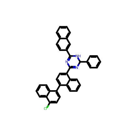 Clc1ccc(-c2ccc(C3=NC(c4ccccc4)NC(c4ccc5ccccc5c4)=N3)c3ccccc23)c2ccccc12